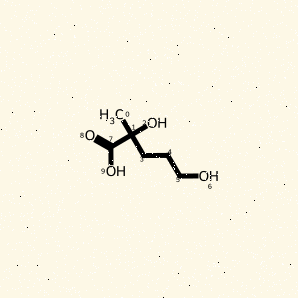 CC(O)(CCCO)C(=O)O